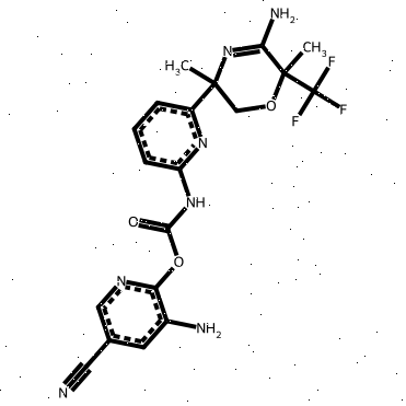 CC1(c2cccc(NC(=O)Oc3ncc(C#N)cc3N)n2)COC(C)(C(F)(F)F)C(N)=N1